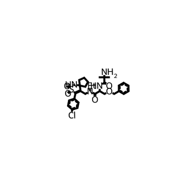 CCN(CC1=C(c2ccc(Cl)cc2)S(=O)(=O)NC12CCCC2)C(=O)C(COCc1ccccc1)NC(=O)C(C)(C)N